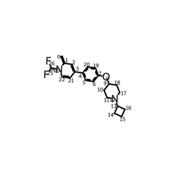 C=C1C=C(c2ccc(OC3CCN(C4CCC4)CC3)cc2)C=CN1C(F)F